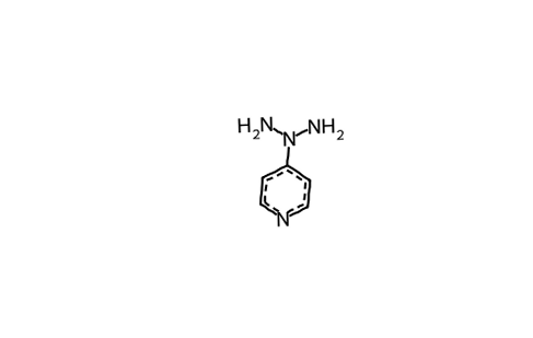 NN(N)c1ccncc1